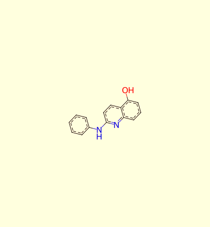 Oc1cccc2nc(Nc3ccccc3)ccc12